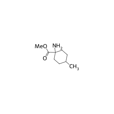 COC(=O)C1(N)CCC(C)CC1